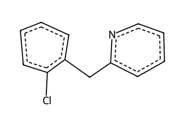 Clc1ccccc1Cc1ccccn1